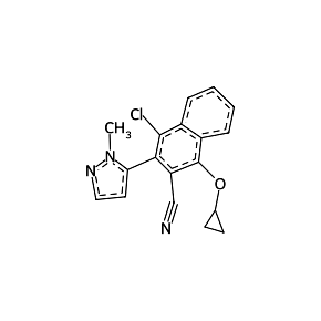 Cn1nccc1-c1c(C#N)c(OC2CC2)c2ccccc2c1Cl